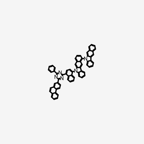 c1ccc(-c2nc(-c3ccc4c(ccc5ccccc54)c3)nc(-c3ccc(-n4c5ccccc5c5cc6c(-n7c8ccccc8c8cc9ccccc9cc87)cccc6cc54)c4ccccc34)n2)cc1